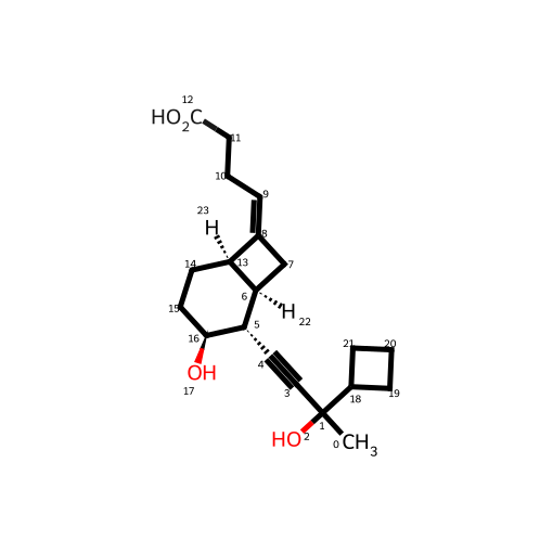 CC(O)(C#C[C@H]1[C@@H]2C/C(=C/CCC(=O)O)[C@@H]2CC[C@@H]1O)C1CCC1